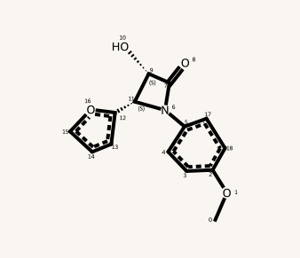 COc1ccc(N2C(=O)[C@@H](O)[C@H]2c2ccco2)cc1